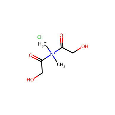 C[N+](C)(C(=O)CO)C(=O)CO.[Cl-]